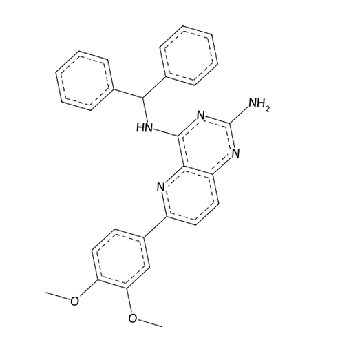 COc1ccc(-c2ccc3nc(N)nc(NC(c4ccccc4)c4ccccc4)c3n2)cc1OC